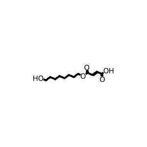 O=C(O)C=CC(=O)OCCCCCCCCO